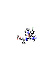 Cc1ncc2c(-c3ccc(F)cc3C(=O)N(C(C)C)C(C)C)cc(C3CN([C@@H](CCC4OCCO4)C(C)C)C3)cn12